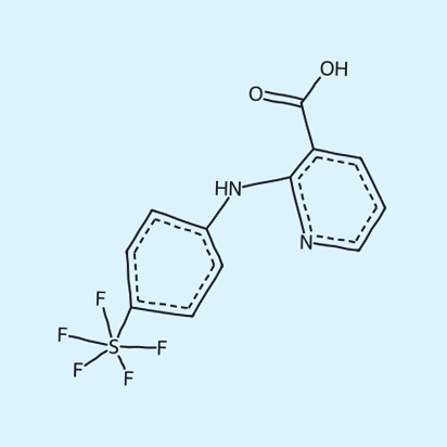 O=C(O)c1cccnc1Nc1ccc(S(F)(F)(F)(F)F)cc1